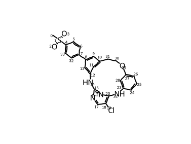 CS(=O)(=O)c1ccc(-c2cc3cc(c2)Nc2ncc(Cl)c(n2)Nc2cccc(c2)OCC3)cc1